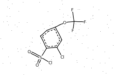 O=S(=O)(Cl)c1ccc(OC(F)(F)F)cc1Cl